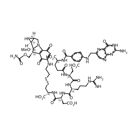 CO[C@@]12[C@H](COC(N)=O)C3=C(C(=O)C=C(NCCSSC[C@H](NC(=O)[C@H](CC(=O)O)NC(=O)[C@H](CCCNC(=N)N)NC(=O)[C@H](CC(=O)O)NC(=O)CC[C@H](NC(=O)c4ccc(NCc5cnc6nc(N)[nH]c(=O)c6n5)cc4)C(=O)O)C(=O)O)C3=O)N1C[C@@H]1N[C@@H]12